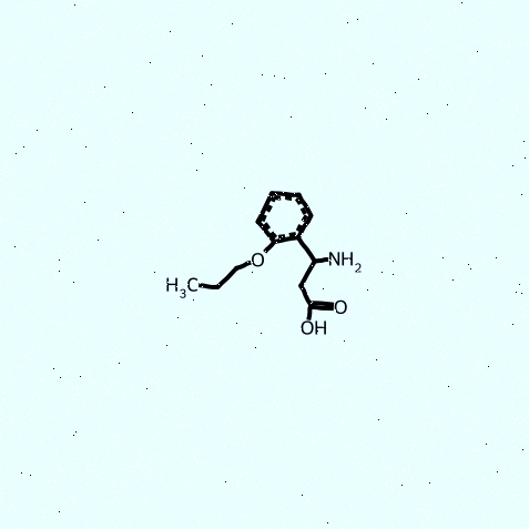 CCCOc1ccccc1C(N)CC(=O)O